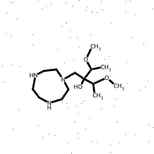 COC(C)C(O)(CN1CCNCCNCC1)C(C)OC